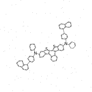 C1=CCCC(N(c2ccc(-c3cccc4ccccc34)cc2)c2ccc3c(c2)sc2c4sc5cc(N(c6ccccc6)c6ccc(-c7cccc8ccccc78)cc6)ccc5c4c4ccccc4c32)=C1